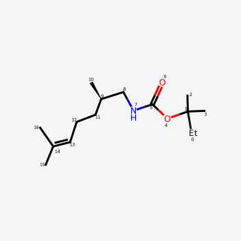 CCC(C)(C)OC(=O)NC[C@H](C)CCC=C(C)C